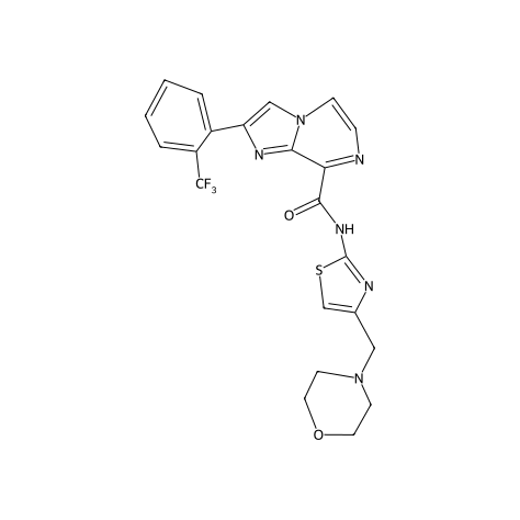 O=C(Nc1nc(CN2CCOCC2)cs1)c1nccn2cc(-c3ccccc3C(F)(F)F)nc12